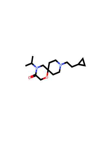 CC(C)N1CC2(CCN(CCC3CC3)CC2)OCC1=O